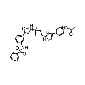 CC(=O)Nc1ccc(-c2c[nH]c(CCC(C)(C)NCC(O)c3cccc(NS(=O)(=O)c4ccccc4)c3)n2)cc1